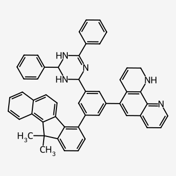 CC1(C)c2cccc(-c3cc(-c4cc5cccnc5c5c4C=CCN5)cc(C4N=C(c5ccccc5)NC(c5ccccc5)N4)c3)c2-c2ccc3ccccc3c21